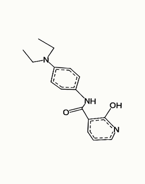 CCN(CC)c1ccc(NC(=O)c2cccnc2O)cc1